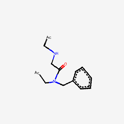 CC(=O)CNCC(=O)N(CC(C)=O)Cc1ccccc1